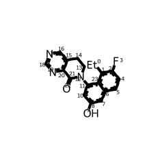 CCc1c(F)ccc2cc(O)cc(N3CCc4cncnc4C3=O)c12